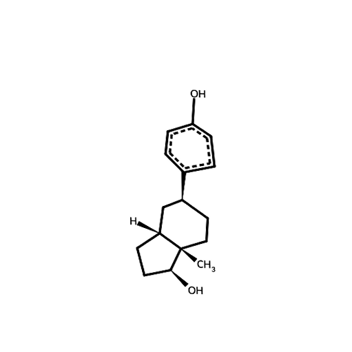 C[C@]12CC[C@H](c3ccc(O)cc3)C[C@H]1CC[C@@H]2O